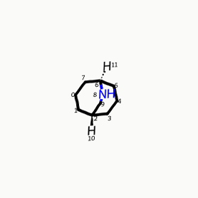 C1C[C@H]2CCC[C@H](C1)NC2